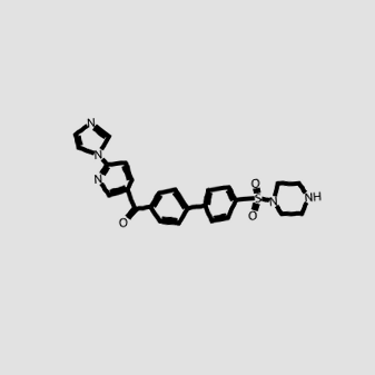 O=C(c1ccc(-c2ccc(S(=O)(=O)N3CCNCC3)cc2)cc1)c1ccc(-n2ccnc2)nc1